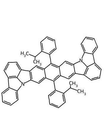 CC(C)c1ccccc1-c1c2cc3c4cccc5c6ccccc6n(c3cc2c(-c2ccccc2C(C)C)c2cc3c6cccc7c8ccccc8n(c3cc12)c76)c54